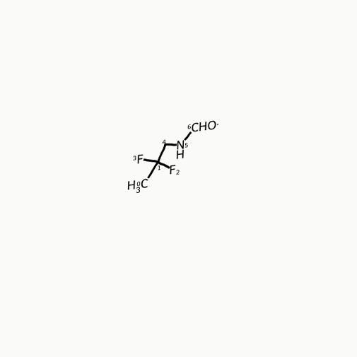 CC(F)(F)CN[C]=O